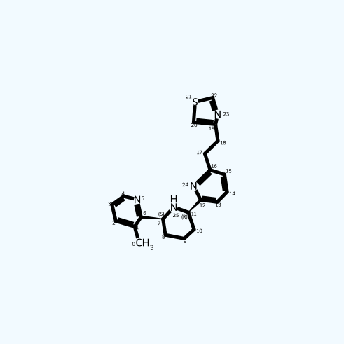 Cc1cccnc1[C@@H]1CCC[C@H](c2cccc(CCc3cscn3)n2)N1